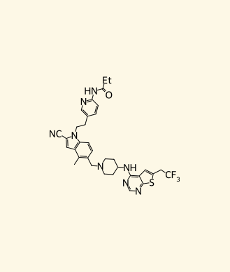 CCC(=O)Nc1ccc(CCn2c(C#N)cc3c(C)c(CN4CCC(Nc5ncnc6sc(CC(F)(F)F)cc56)CC4)ccc32)cn1